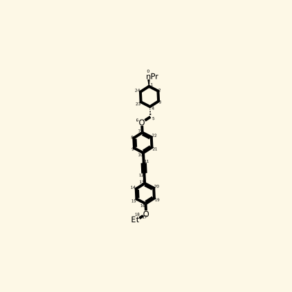 CCC[C@H]1CC[C@H](COc2ccc(C#Cc3ccc(OCC)cc3)cc2)CC1